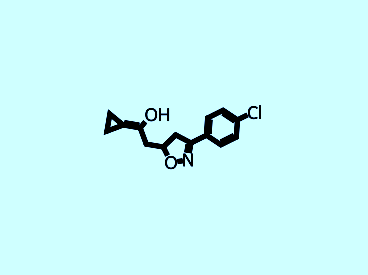 OC(CC1CC(c2ccc(Cl)cc2)=NO1)=C1CC1